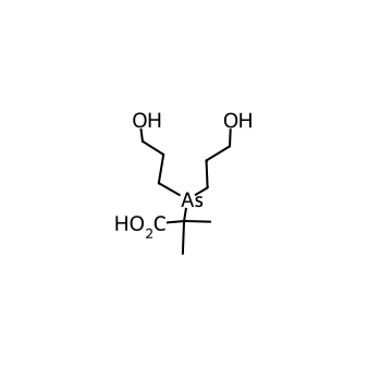 CC(C)(C(=O)O)[As](CCCO)CCCO